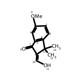 COc1ccc2c(c1)C(=O)C(=CO)C2(C)C